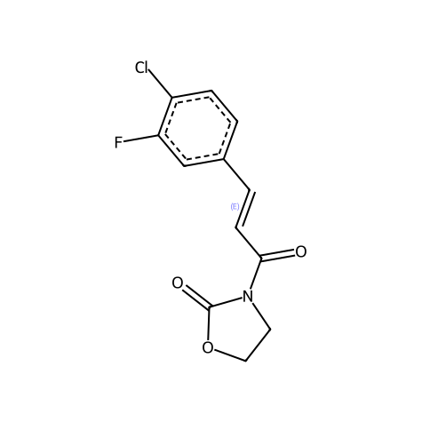 O=C(/C=C/c1ccc(Cl)c(F)c1)N1CCOC1=O